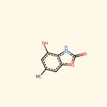 N#Cc1cc(O)c2[nH]c(=O)oc2c1